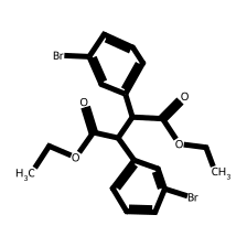 CCOC(=O)C(c1cccc(Br)c1)C(C(=O)OCC)c1cccc(Br)c1